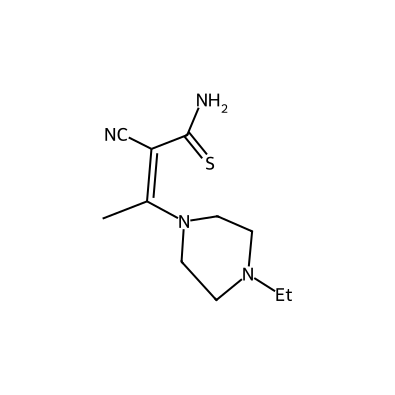 CCN1CCN(/C(C)=C(/C#N)C(N)=S)CC1